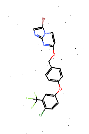 FC(F)(F)c1cc(Oc2ccc(COc3ccn4c(Br)cnc4n3)cc2)ccc1Cl